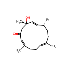 C/C1=C/C(=O)C[C@](C)(O)/C=C/[C@H](C(C)C)CC/C(C)=C/CC1